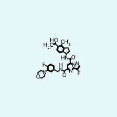 C=C(O)c1ccc2c(c1C)CCC2NC(=O)c1cc(C(=O)NCc2ccc(F)c(N3CCOCC3)c2)nc2c(F)cnn12